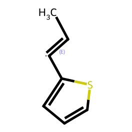 C/C=[C]/c1cccs1